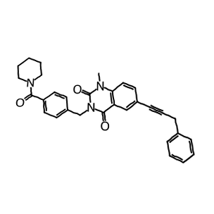 Cn1c(=O)n(Cc2ccc(C(=O)N3CCCCC3)cc2)c(=O)c2cc(C#CCc3ccccc3)ccc21